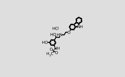 CS(=O)(=O)Nc1cc(O)cc(C(O)CNCCOc2ccc3c(c2)[nH]c2ccccc23)c1.Cl